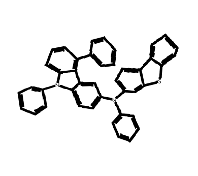 c1ccc(-c2cccc3c2c2cc(N(c4ccccc4)c4ccc5c(c4)sc4ccccc45)ccc2n3-c2ccccc2)cc1